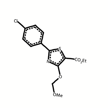 CCOC(=O)c1sc(-c2ccc(Cl)cc2)nc1OCOC